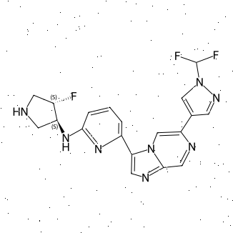 FC(F)n1cc(-c2cn3c(-c4cccc(N[C@H]5CNC[C@@H]5F)n4)cnc3cn2)cn1